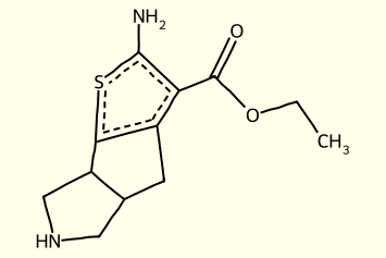 CCOC(=O)c1c(N)sc2c1CC1CNCC21